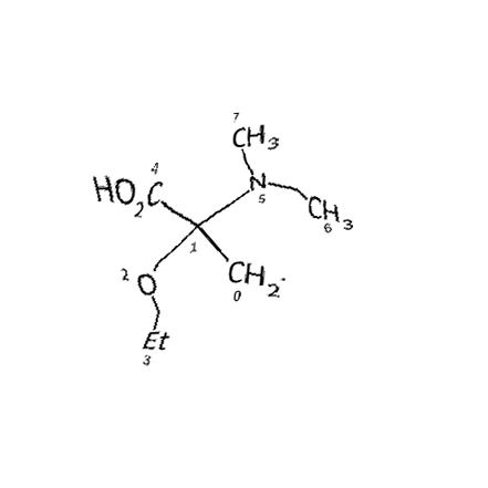 [CH2]C(OCC)(C(=O)O)N(C)C